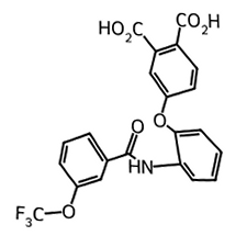 O=C(Nc1ccccc1Oc1ccc(C(=O)O)c(C(=O)O)c1)c1cccc(OC(F)(F)F)c1